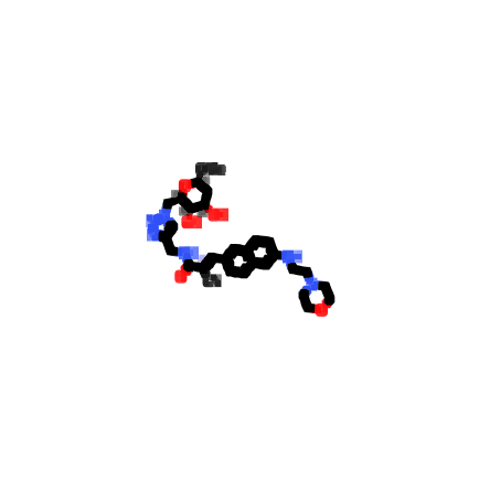 CO[C@@H]1C[C@@H](O)[C@H](O)[C@@H](Cn2cc(CNC(=O)/C(C#N)=C/c3ccc4cc(NCCN5CCOCC5)ccc4c3)nn2)O1